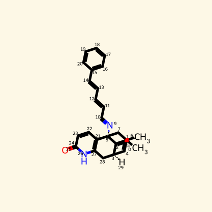 C/C=C1\[C@H]2C=C(C)C[C@]1(/N=C/C=C/C=C/c1ccccc1)c1ccc(=O)[nH]c1C2